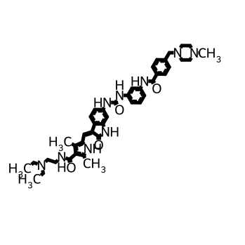 CCN(CC)CCNC(=O)c1c(C)[nH]c(/C=C2\C(=O)Nc3cc(NC(=O)Nc4cccc(NC(=O)c5ccc(CN6CCN(C)CC6)cc5)c4)ccc32)c1C